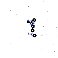 CCc1nc2ccccc2n1-c1ccc(-c2ccc(-c3nc4ccccc4c(N)c3[C@@H](N)C3C=CC3)cc2)cc1